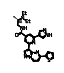 CCN(CC)[C@@H](C)CNC(=O)c1cc(-c2cn[nH]c2)nc(-c2cnn3ccc(-c4cccs4)nc23)c1